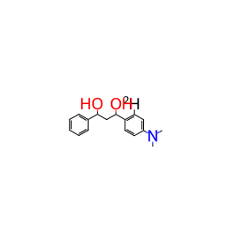 [2H]c1cc(N(C)C)ccc1C(O)CC(O)c1ccccc1